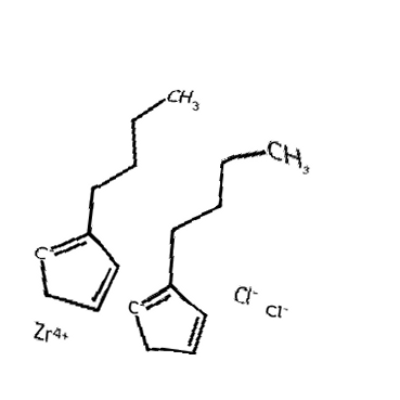 CCCCC1=[C-]CC=C1.CCCCC1=[C-]CC=C1.[Cl-].[Cl-].[Zr+4]